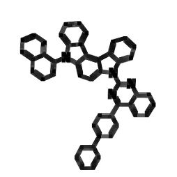 c1ccc(-c2ccc(-c3nc(-n4c5ccccc5c5c6c7ccccc7n(-c7cccc8ccccc78)c6ccc54)nc4ccccc34)cc2)cc1